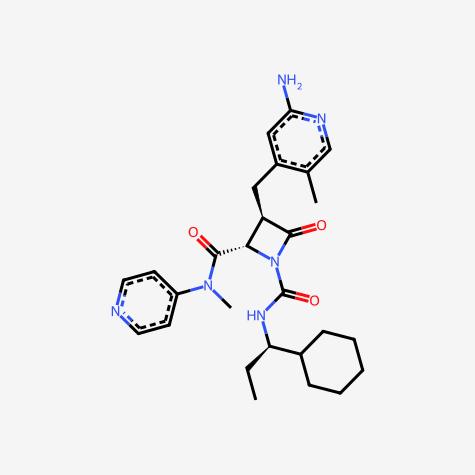 CC[C@@H](NC(=O)N1C(=O)[C@H](Cc2cc(N)ncc2C)[C@H]1C(=O)N(C)c1ccncc1)C1CCCCC1